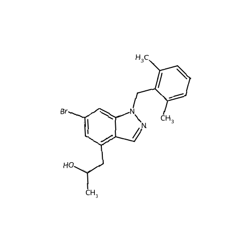 Cc1cccc(C)c1Cn1ncc2c(CC(C)O)cc(Br)cc21